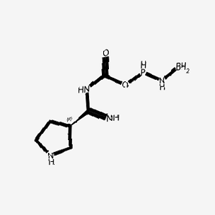 BNPOC(=O)NC(=N)[C@@H]1CCNC1